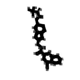 C[C@H](NCc1ccc2nc(CNC(=O)c3cc(=O)n4ccccc4n3)cn2c1)C(C)(C)C